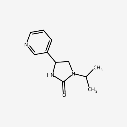 CC(C)N1CC(c2cccnc2)NC1=O